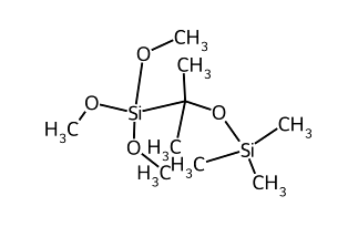 CO[Si](OC)(OC)C(C)(C)O[Si](C)(C)C